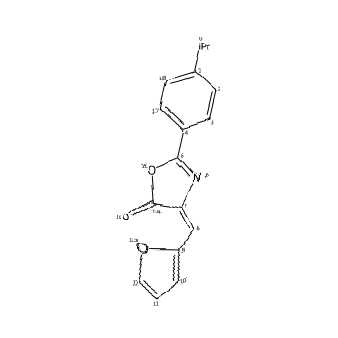 CC(C)c1ccc(C2=N/C(=C/c3ccco3)C(=O)O2)cc1